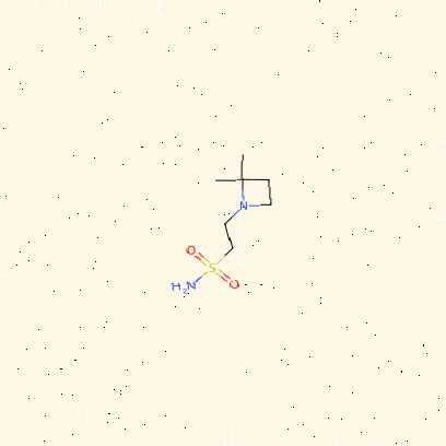 CC1(C)CCN1CCS(N)(=O)=O